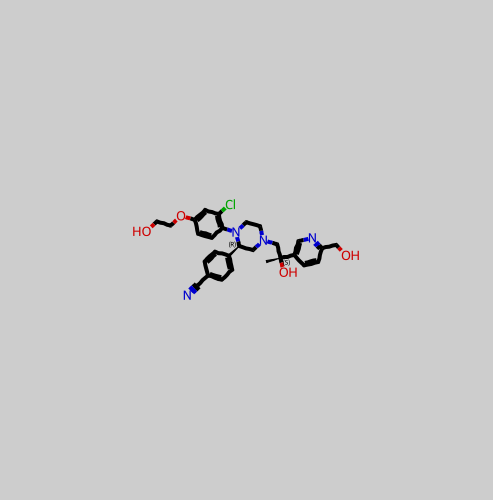 C[C@@](O)(CN1CCN(c2ccc(OCCO)cc2Cl)[C@H](c2ccc(C#N)cc2)C1)c1ccc(CO)nc1